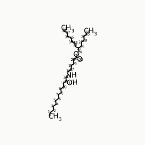 CCCCCCCCCCCCC(O)CNCCCCCC(=O)OCC(CCCCCC)CCCCCCCC